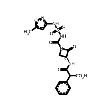 Cc1cc(NS(=O)(=O)NC(=O)N2C[C@H](NC(=O)C(C(=O)O)c3ccccc3)C2=O)no1